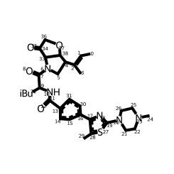 CC=C(C)C1CN(C(=O)C(NC(=O)c2ccc(-c3nc(N4CCN(C)CC4)sc3C)cc2)C(C)CC)C2C(=O)COC12